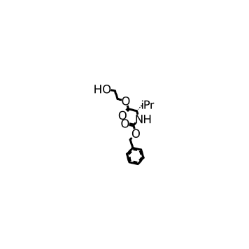 CC(C)[C@H](NC(=O)OCc1ccccc1)C(=O)OCCO